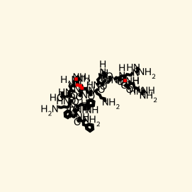 CC(O)C(NC(=O)C(CCCCN)NC(=O)C(Cc1c[nH]c2ccccc12)NC(=O)C(Cc1ccccc1)NC(=O)C(N)Cc1ccccc1)C(=O)NC(CCCCN)C(=O)N1CCCC1C(=O)NC(CCCNC(=N)N)C(=O)NC(CCCCN)C(=O)NC(Cc1c[nH]cn1)C(=O)NCC(=O)NCC(=O)NC(CCCNC(=N)N)C(=O)NC(CCCNC(=N)N)C(=O)O